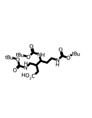 CC(C)(C)OC(=O)NCCC(NC(=O)OC(C)(C)C)C(CNC(=O)OC(C)(C)C)CC(=O)O